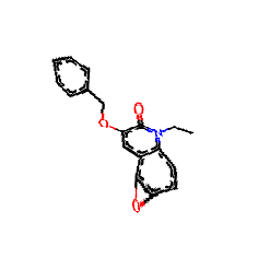 CCn1c(=O)c(OCc2ccccc2)cc2c3c(ccc21)O3